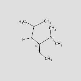 CC[C@@H](C(I)C(C)C)N(C)C